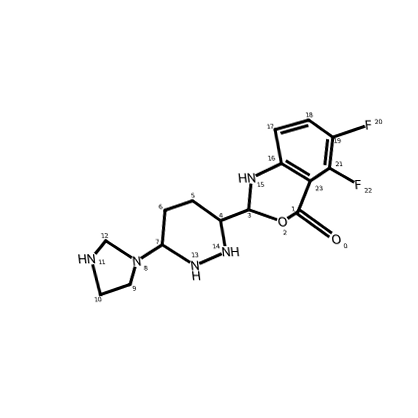 O=C1OC(C2CCC(N3CCNC3)NN2)Nc2ccc(F)c(F)c21